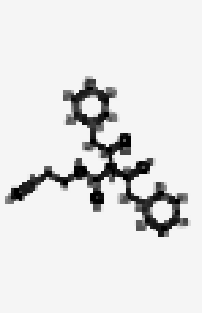 N#CCCOC(=O)N(C(=O)Cc1ccccc1)C(=O)Cc1ccccc1